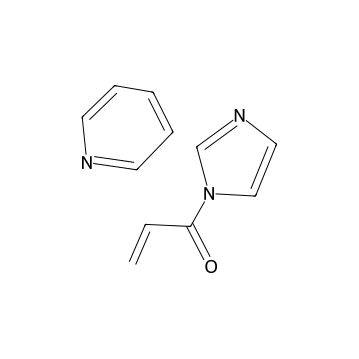 C=CC(=O)n1ccnc1.c1ccncc1